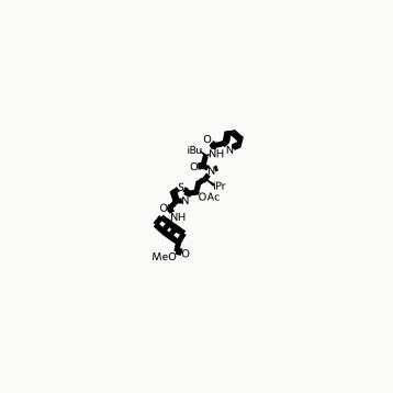 CC[C@H](C)[C@H](NC(=O)c1ccccn1)C(=O)N(C)[C@H](C[C@@H](OC(C)=O)c1nc(C(=O)NC23C4C5C2C2C3C4C52C(=O)OC)cs1)C(C)C